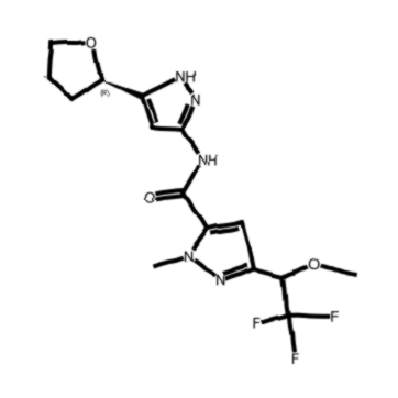 COC(c1cc(C(=O)Nc2cc([C@H]3C[CH]CO3)[nH]n2)n(C)n1)C(F)(F)F